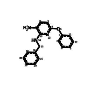 Nc1ccc(Oc2ccccc2)nc1NCc1ccccc1